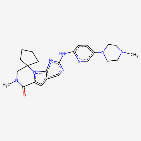 CN1CCN(c2ccc(Nc3ncc4cc5n(c4n3)C3(CCCC3)CN(C)C5=O)nc2)CC1